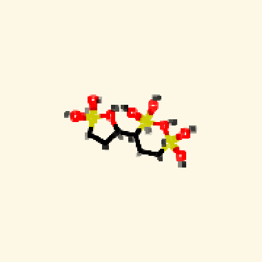 O=S1(=O)CCC(C2CCS(=O)(=O)OS2(=O)=O)O1